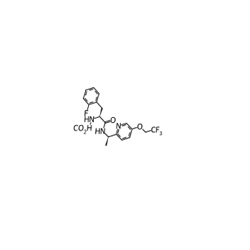 C[C@@H](NC(=O)[C@H](Cc1ccccc1F)NC(=O)O)c1ccc(OCC(F)(F)F)cn1